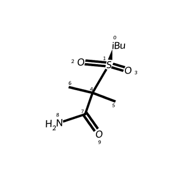 CC[C@H](C)S(=O)(=O)C(C)(C)C(N)=O